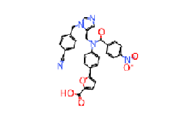 N#Cc1ccc(Cn2cncc2CN(C(=O)c2ccc([N+](=O)[O-])cc2)c2ccc(-c3ccc(C(=O)O)o3)cc2)cc1